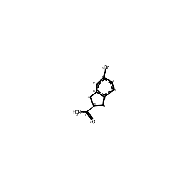 NC(=O)[C@@H]1Cc2ccc(Br)cc2C1